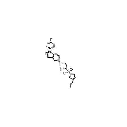 CCCn1ccc(S(=O)(=O)N2CCC(c3ccc4c(cnn4-c4ccc(F)cc4)c3)C[C@H]2C)c1